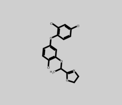 CC(Oc1cc(Oc2ccc(Cl)cc2Cl)ccc1Cl)C1=NCCO1